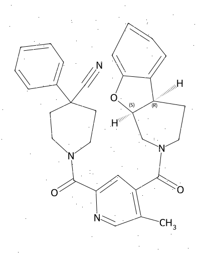 Cc1cnc(C(=O)N2CCC(C#N)(c3ccccc3)CC2)cc1C(=O)N1CC[C@@H]2c3ccccc3O[C@@H]2C1